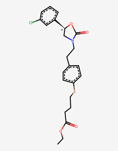 CCOC(=O)CCCSc1ccc(CCN2C[C@@H](c3cccc(Cl)c3)OC2=O)cc1